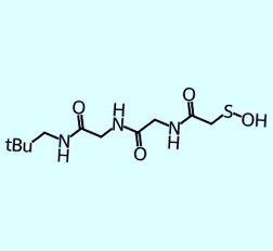 CC(C)(C)CNC(=O)CNC(=O)CNC(=O)CSO